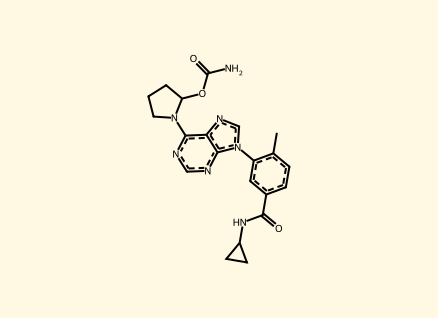 Cc1ccc(C(=O)NC2CC2)cc1-n1cnc2c(N3CCCC3OC(N)=O)ncnc21